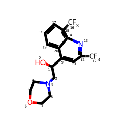 OC(CN1CCOCC1)c1cc(C(F)(F)F)nc2c(C(F)(F)F)cccc12